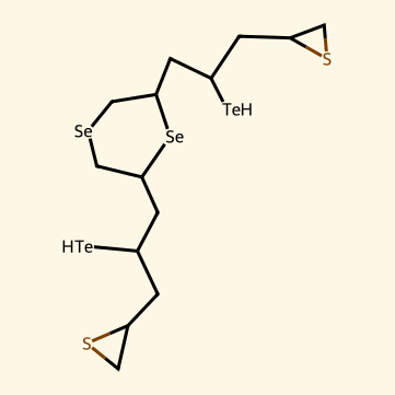 [TeH]C(CC1CS1)CC1C[Se]CC(CC([TeH])CC2CS2)[Se]1